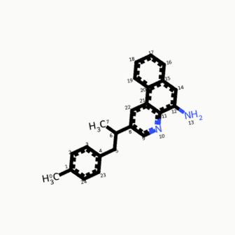 Cc1ccc(CC(C)c2cnc3c(N)cc4ccccc4c3c2)cc1